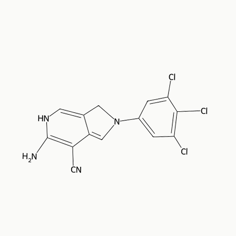 N#CC1=C(N)NC=C2CN(c3cc(Cl)c(Cl)c(Cl)c3)C=C21